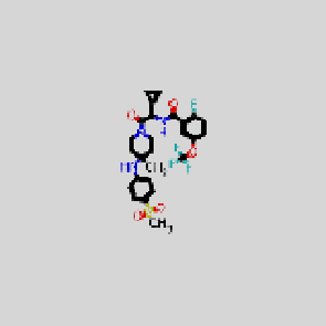 CC1(Nc2ccc(S(C)(=O)=O)cc2)CCN(C(=O)C(NC(=O)c2cc(OC(F)(F)F)ccc2F)C2CC2)CC1